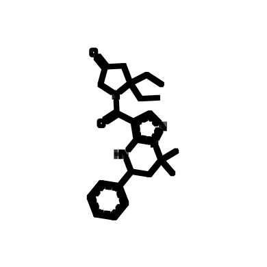 CCC1(CC)CC(=O)CN1C(=O)c1cnn2c1NC(c1ccccc1)CC2(C)C